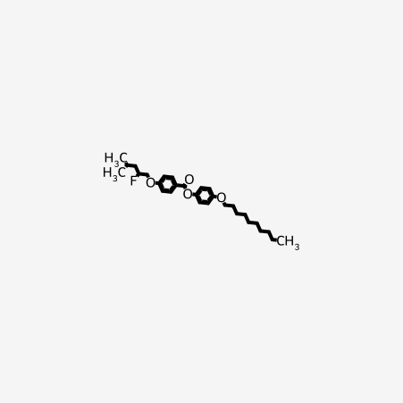 CCCCCCCCCCOc1ccc(OC(=O)c2ccc(OCC(F)CC(C)C)cc2)cc1